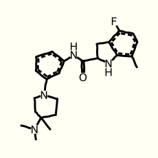 Cc1ccc(F)c2c1NC(C(=O)Nc1cccc(N3CCC(C)(N(C)C)CC3)c1)C2